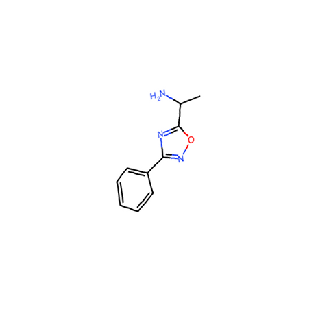 CC(N)c1nc(-c2ccccc2)no1